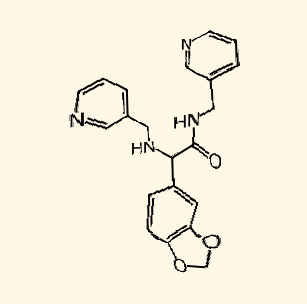 O=C(NCc1cccnc1)C(NCc1cccnc1)c1ccc2c(c1)OCO2